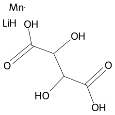 O=C(O)C(O)C(O)C(=O)O.[LiH].[Mn]